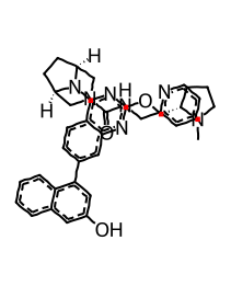 CN1CCC[C@H]1COc1nc(N2[C@@H]3CC[C@H]2CN(C(=O)NCc2ccccn2)C3)c2ccc(-c3cc(O)cc4ccccc34)cc2n1